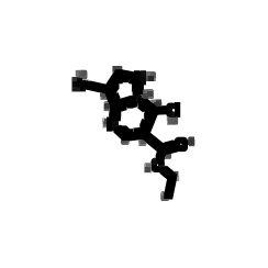 CCOC(=O)c1cnc2c(Br)cnn2c1Cl